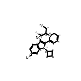 N#Cc1ccc2c(C#N)c(C3=CC=CCN3C(CF)CF)n(C3CCC3)c2c1